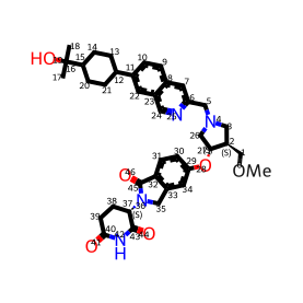 COC[C@@H]1CN(Cc2cc3ccc(C4CCC(C(C)(C)O)CC4)cc3cn2)C[C@H]1Oc1ccc2c(c1)CN([C@H]1CCC(=O)NC1=O)C2=O